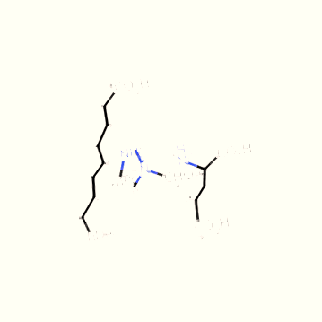 CCCCCCCCCCCCCCCCCC(=O)O.CCCN.CN(C)C=O.NC(CCC(=O)O)C(=O)O